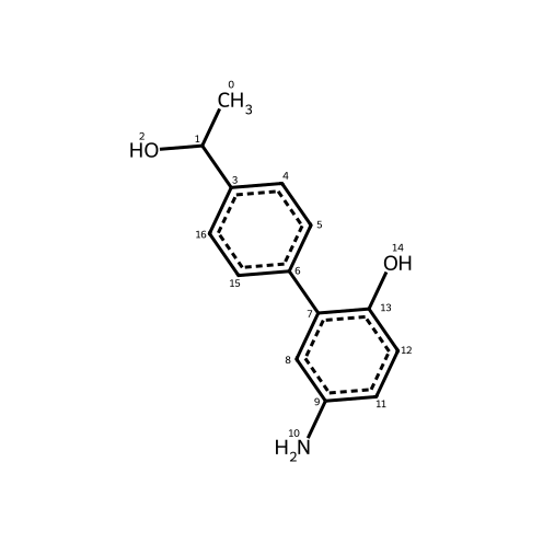 CC(O)c1ccc(-c2cc(N)ccc2O)cc1